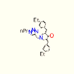 CCCn1cc(CN2CC(=Cc3ccc(CC)cc3)C(=O)C(=Cc3ccc(CC)cc3)C2)nn1